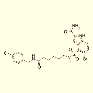 NC(=O)c1cc2c(S(=O)(=O)NCCCCCC(=O)NCc3ccc(Cl)cc3)c(Br)ccc2[nH]1